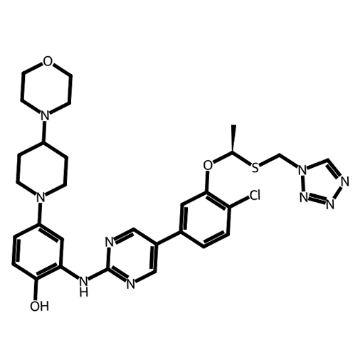 C[C@H](Oc1cc(-c2cnc(Nc3cc(N4CCC(N5CCOCC5)CC4)ccc3O)nc2)ccc1Cl)SCn1cnnn1